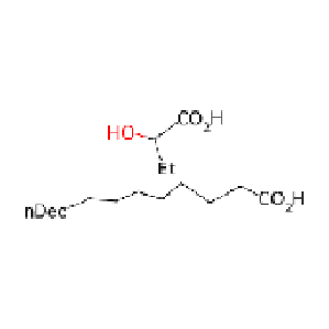 CCC(O)C(=O)O.CCCCCCCCCCCCCCCCCC(=O)O